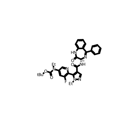 CCN(C(=O)OC(C)(C)C)c1cnc(-c2c(C(=O)N[C@H]3N=C(c4ccccc4)c4ccccc4NC3=O)cnn2CC)c(F)c1